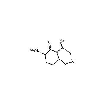 CNC1CCC2CNCC(C(C)=O)N2C1=O